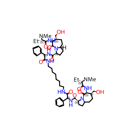 CC[C@H](NC)C(=O)N[C@@H]1C(=O)N2C(CC[C@@H]1CO)CC[C@H]2C(=O)N[C@H](C(=O)NCCCCCCCCNC(=O)[C@@H](NC(=O)[C@@H]1CC[C@@H]2CC[C@H](CO)[C@H](NC(=O)[C@H](CC)NC)C(=O)N21)c1ccccc1)c1ccccc1